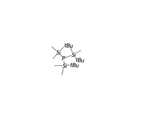 CC(C)(C)[Si](C)(C)P([Si](C)(C)C(C)(C)C)[Si](C)(C)C(C)(C)C